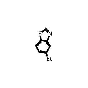 CCc1ccc2s[c]nc2c1